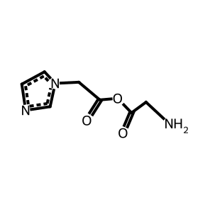 NCC(=O)OC(=O)Cn1ccnc1